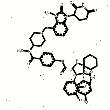 Cc1cccc([C@H]2[C@H](C(=O)Nc3ccc(C(=O)N(C)C4CCN(Cc5cccc6c5n(C)c(=O)n6C5CCC(=O)NC5=O)CC4)cc3)NC3(CCCCC3)[C@@]23C(=O)Nc2cc(Cl)ccc23)c1F